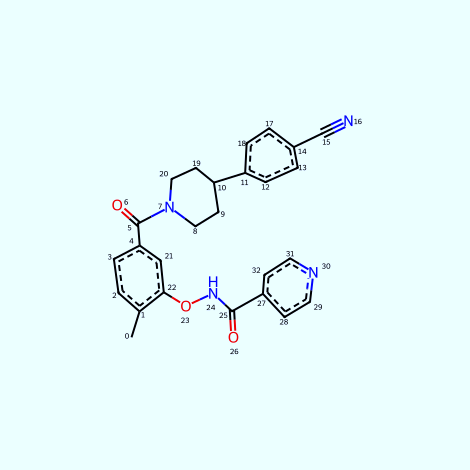 Cc1ccc(C(=O)N2CCC(c3ccc(C#N)cc3)CC2)cc1ONC(=O)c1ccncc1